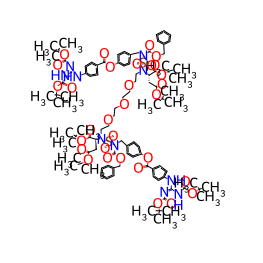 CC(C)(C)OC(=O)C[C@@H](C(=O)OC(C)(C)C)N(CCOCCOCCOCCN([C@@H](CC(=O)OC(C)(C)C)C(=O)OC(C)(C)C)S(=O)(=O)N(Cc1ccc(OC(=O)c2ccc(NC(=NC(=O)OC(C)(C)C)NC(=O)OC(C)(C)C)cc2)cc1)C(=O)OCc1ccccc1)S(=O)(=O)N(Cc1ccc(OC(=O)c2ccc(NC(=NC(=O)OC(C)(C)C)NC(=O)OC(C)(C)C)cc2)cc1)C(=O)OCc1ccccc1